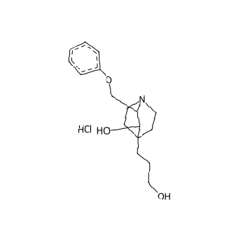 Cl.OCCCC12CCN(CC1)C(COc1ccccc1)C2O